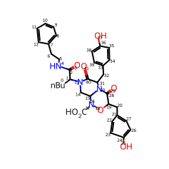 CCCCC(C(=O)NCCc1ccccc1)N1CC2N(C(=O)O)OC(Cc3ccc(O)cc3)C(=O)N2C(Cc2ccc(O)cc2)C1=O